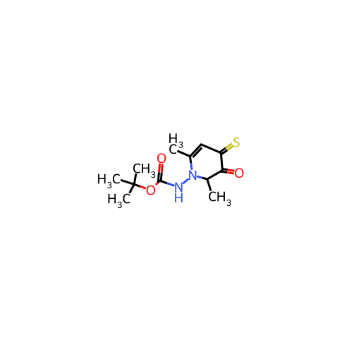 CC1=CC(=S)C(=O)C(C)N1NC(=O)OC(C)(C)C